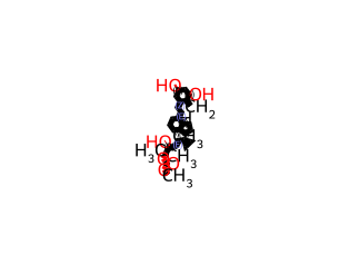 C=C1/C(=C\C=C2/CCC[C@]3(C)[C@@H](C4(/C=C/[C@@H](O)C(C)(C)OC(=O)OC)CC4)CC[C@@H]23)C[C@@H](O)C[C@@H]1O